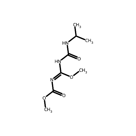 COC(=O)N=C(NC(=O)NC(C)C)OC